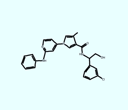 Cc1cn(-c2ccnc(Nc3ccccc3)c2)cc1C(=O)NC(CO)c1cccc(Cl)c1